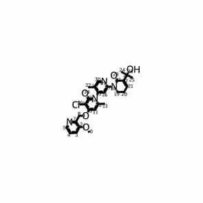 COc1cccnc1COc1cc(C)n(-c2cc(N3CCC=C(C(C)(C)O)C3=O)ncc2C)c(=O)c1Cl